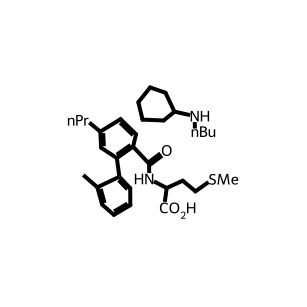 CCCCNC1CCCCC1.CCCc1ccc(C(=O)NC(CCSC)C(=O)O)c(-c2ccccc2C)c1